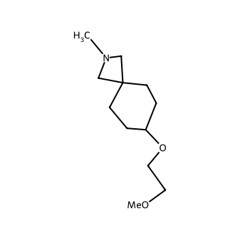 COCCOC1CCC2(CC1)CN(C)C2